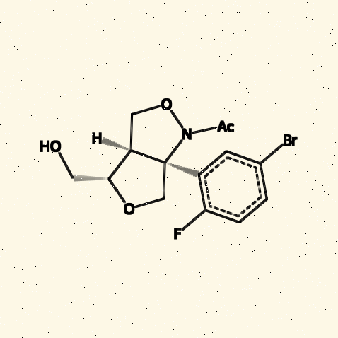 CC(=O)N1OC[C@@H]2[C@@H](CO)OC[C@@]21c1cc(Br)ccc1F